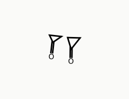 O=C1CC1.O=C1CC1